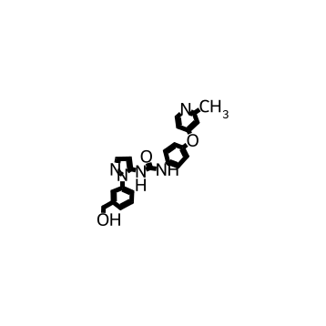 Cc1cc(Oc2ccc(NC(=O)Nc3ccnn3-c3cccc(CO)c3)cc2)ccn1